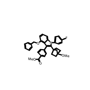 COC(=O)c1ccc(-c2c(C34CCC(OC)(CC3)C4)n(-c3ccc(F)cc3)c3cccc(OCc4ccccc4)c23)cc1